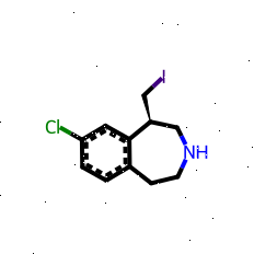 Clc1ccc2c(c1)[C@@H](CI)CNCC2